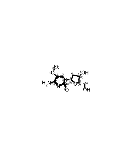 CCOc1cn([C@H]2C[C@@H](O)[C@H](CO)O2)c(=O)nc1N